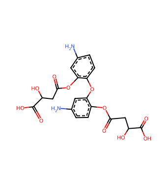 Nc1ccc(Oc2cc(N)ccc2OC(=O)CC(O)C(=O)O)c(OC(=O)CC(O)C(=O)O)c1